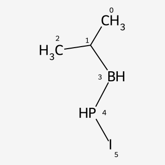 CC(C)BPI